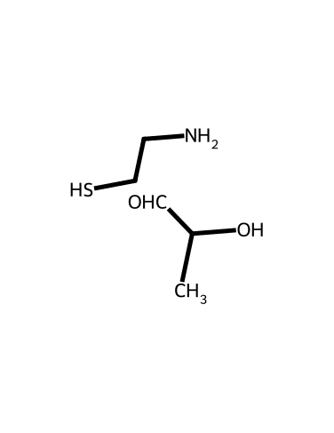 CC(O)C=O.NCCS